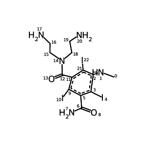 CNc1c(I)c(C(N)=O)c(I)c(C(=O)N(CCN)CCN)c1I